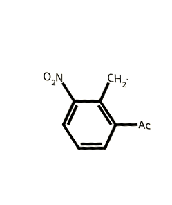 [CH2]c1c(C(C)=O)cccc1[N+](=O)[O-]